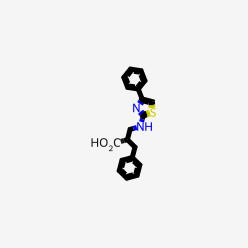 O=C(O)C(CNc1nc(-c2ccccc2)cs1)Cc1ccccc1